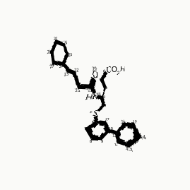 O=C(O)CC[C@@H](CSc1cccc(-c2ccccc2)c1)NC(=O)CCCC1CCCCC1